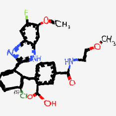 COCCNC(=O)c1ccc(C2C(c3nc4cc(F)c(OC)cc4[nH]3)=CC=C[C@@H]2Cl)c(C(=O)O)c1